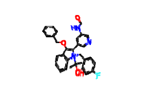 CC(C)(O)[N+]1(Cc2ccc(F)cc2)C(c2cncc(NC=O)c2)=C(OCc2ccccc2)c2ccccc21